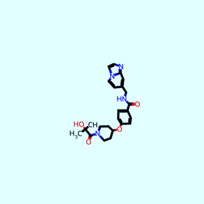 CC(C)(O)C(=O)N1CCC(Oc2ccc(C(=O)NCc3ccn4ccnc4c3)cc2)CC1